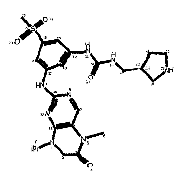 CC(C)N1CC(=O)N(C)c2cnc(Nc3cc(NC(=O)NC[C@H]4CCNC4)cc(S(C)(=O)=O)c3)nc21